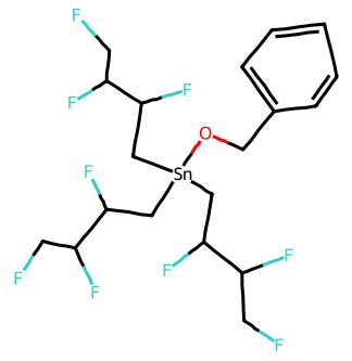 FCC(F)C(F)[CH2][Sn]([CH2]C(F)C(F)CF)([CH2]C(F)C(F)CF)[O]Cc1ccccc1